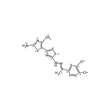 C/C(=N\Nc1nc(-c2sc(N)nc2C)cs1)c1ccc(Cl)c(Cl)c1